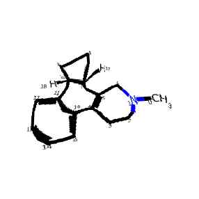 CN1CCC2=C(C1)[C@H]1CC[C@H]1c1ccccc12